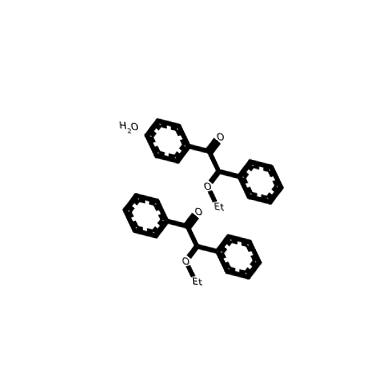 CCOC(C(=O)c1ccccc1)c1ccccc1.CCOC(C(=O)c1ccccc1)c1ccccc1.O